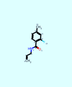 C=CCNC(=O)c1ccc(C)cc1F